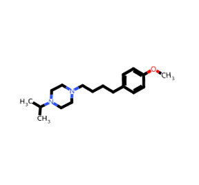 COc1ccc(CCCCN2CCN(C(C)C)CC2)cc1